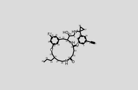 C#Cc1cccc(C2(NCC(O)C3Cc4cc(F)cc(c4)OCC(CCC)CCNC(=O)CCC(=O)N3)CC2)c1